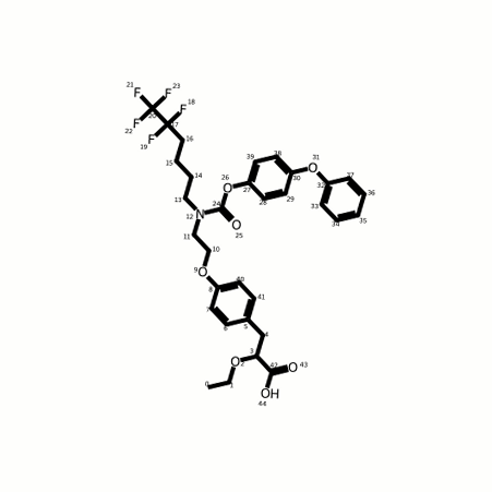 CCOC(Cc1ccc(OCCN(CCCCC(F)(F)C(F)(F)F)C(=O)Oc2ccc(Oc3ccccc3)cc2)cc1)C(=O)O